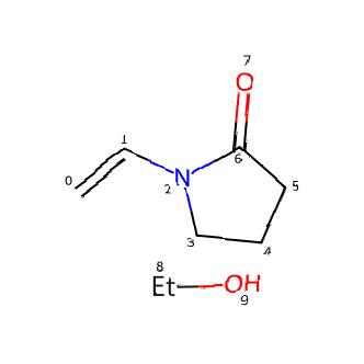 C=CN1CCCC1=O.CCO